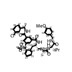 COc1ccc(CNC(=O)[C@@H](NC(=O)[C@H](C)NC[C@H](Cc2ccccc2)NC(=O)c2cc(C(=O)N[C@H](C)c3cccc(Cl)c3)cc(N(C)S(C)(=O)=O)c2)C(C)C)cc1